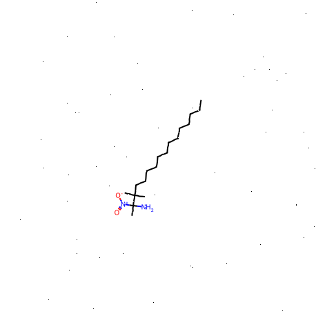 CCCCCCCCCCCCCC(C)(C)C(C)(N)[N+](=O)[O-]